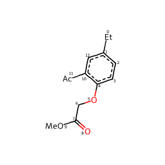 CCc1ccc(OCC(=O)OC)c(C(C)=O)c1